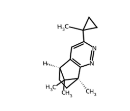 CC1(c2cc3c(nn2)[C@@]2(C)CC[C@@H]3C2(C)C)CC1